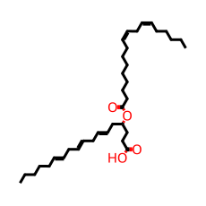 CCCCCC=CCC=CCC=CCC(CCC(=O)O)OC(=O)CCCCCCC/C=C\C/C=C\CCCCC